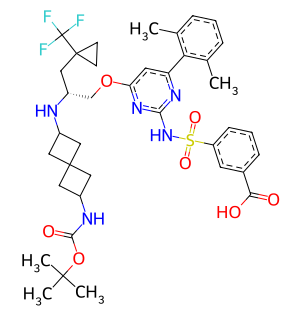 Cc1cccc(C)c1-c1cc(OC[C@@H](CC2(C(F)(F)F)CC2)NC2CC3(CC(NC(=O)OC(C)(C)C)C3)C2)nc(NS(=O)(=O)c2cccc(C(=O)O)c2)n1